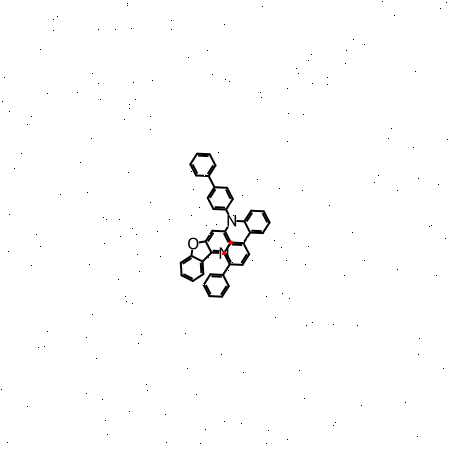 c1ccc(-c2ccc(-c3ccccc3N(c3ccc(-c4ccccc4)cc3)c3cnc4c(c3)oc3ccccc34)cc2)cc1